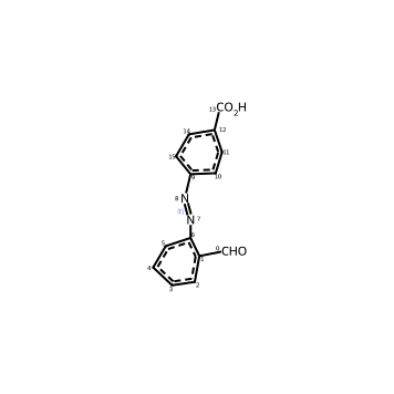 O=Cc1ccccc1/N=N/c1ccc(C(=O)O)cc1